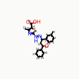 Cc1ccc2c(c1)C(=NNc1nc(C)c(C(=O)O)s1)CC(c1ccccc1)O2